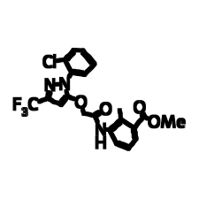 COC(=O)c1cccc(NC(=O)COc2cc(C(F)(F)F)nn2-c2ccccc2Cl)c1C